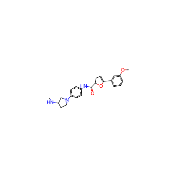 CNC1CCN(c2ccc(NC(=O)C3CC=C(c4cccc(OC)c4)O3)cc2)C1